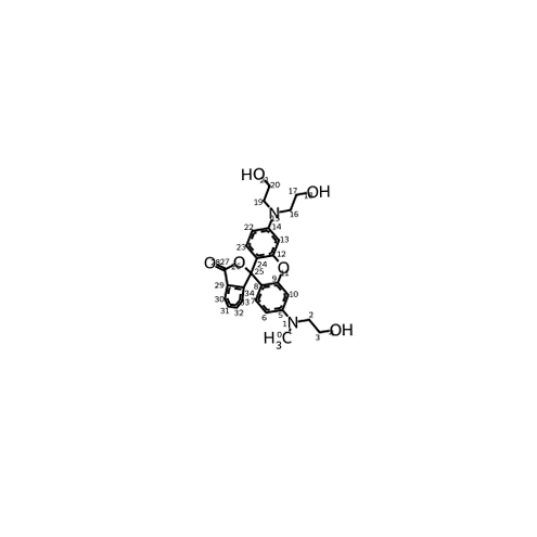 CN(CCO)c1ccc2c(c1)Oc1cc(N(CCO)CCO)ccc1C21OC(=O)c2ccccc21